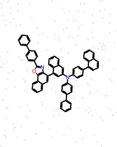 c1ccc(-c2ccc(-c3nc4c(-c5cc(N(c6ccc(-c7ccccc7)cc6)c6ccc(-c7cccc8ccccc78)cc6)cc6ccccc56)cc5ccccc5c4o3)cc2)cc1